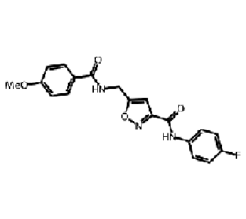 COc1ccc(C(=O)NCc2cc(C(=O)Nc3ccc(F)cc3)no2)cc1